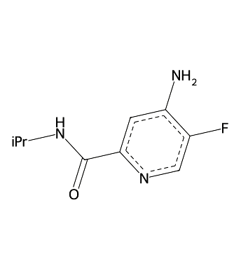 CC(C)NC(=O)c1cc(N)c(F)cn1